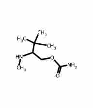 CNC(COC(N)=O)C(C)(C)C